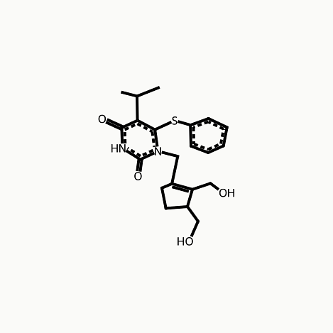 CC(C)c1c(Sc2ccccc2)n(CC2=C(CO)C(CO)CC2)c(=O)[nH]c1=O